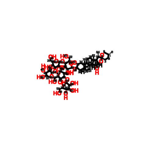 C[C@@H]1CC[C@@]2(OC1)O[C@H]1[C@@H](O)[C@H]3[C@@H]4CC[C@H]5C[C@@H](O[C@@H]6O[C@H](CO)[C@H](O[C@@H]7O[C@H](CO)[C@@H](O)[C@H](O[C@@H]8OC[C@@H](O)[C@H](O)[C@H]8O)[C@H]7O[C@@H]7O[C@H](CO)[C@H](O)[C@H](O[C@@H]8O[C@H](CO)[C@@H](O)[C@H](O)[C@H]8O)[C@H]7O)[C@H](O)[C@H]6O)[C@H](O)C[C@]5(C)[C@H]4CC[C@]3(C)[C@H]1[C@@H]2C